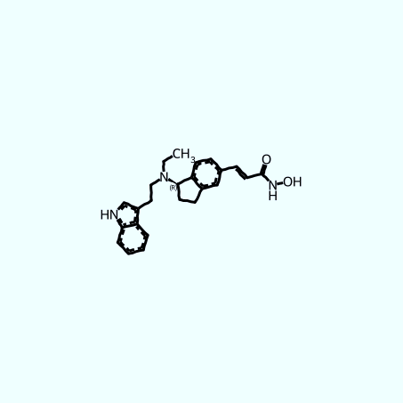 CCN(CCc1c[nH]c2ccccc12)[C@@H]1CCc2cc(C=CC(=O)NO)ccc21